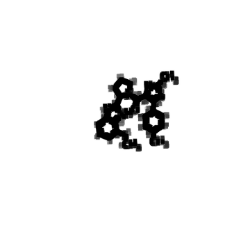 CSc1cccc2nc(C3CCCN3C(=O)c3nc(C)sc3-c3ccc(C)cc3)[nH]c12